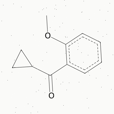 COc1ccccc1C(=O)C1CC1